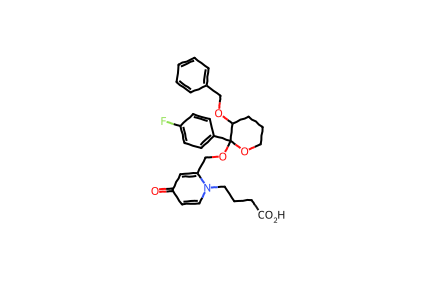 O=C(O)CCCn1ccc(=O)cc1COC1(c2ccc(F)cc2)OCCCC1OCc1ccccc1